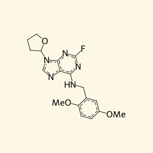 COc1ccc(OC)c(CNc2nc(F)nc3c2ncn3C2CCCO2)c1